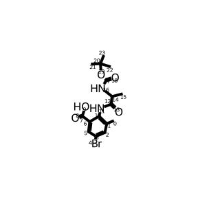 Cc1cc(Br)cc(C(=O)O)c1NC(=O)C(C)NC(=O)OC(C)(C)C